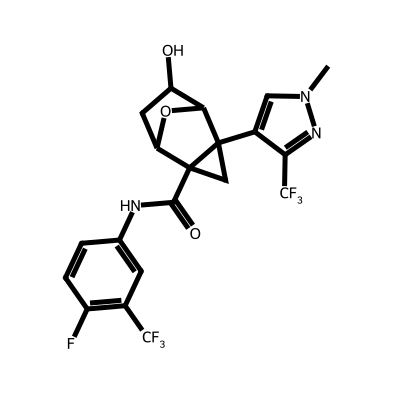 Cn1cc(C23CC2(C(=O)Nc2ccc(F)c(C(F)(F)F)c2)C2CC(O)C3O2)c(C(F)(F)F)n1